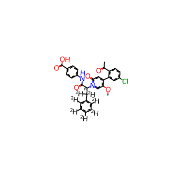 [2H]c1c([2H])c([2H])c(C([2H])([2H])[C@@H](C(=O)Nc2ccc(C(=O)O)cc2)n2cc(OC)c(-c3cc(Cl)ccc3C(C)=O)cc2=O)c([2H])c1[2H]